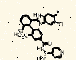 CCC[C@H](NC(=O)c1ccc(-c2c(Cl)cccc2-c2nc3cc(Cl)c(F)cc3[nH]2)c(C(=O)O)c1)c1ccncc1